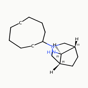 N[C@@H]1[C@@H]2CC[C@H]1CN(C1CCCCCCCC1)C2